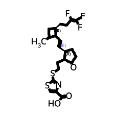 CC1C[C@@H](CCC(F)=C(F)F)C1/C=C/[C@H]1CCC(=O)C1CCSc1nc(C(=O)O)cs1